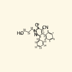 N#Cc1c(-c2ccccc2)c(-c2ccccc2)nn(CCCO)c1=O